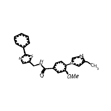 COc1cc(C(=O)NCc2cnc(-c3ccccc3)s2)ccc1-n1cnc(C)c1